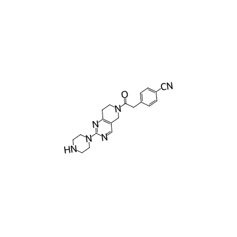 N#Cc1ccc(CC(=O)N2CCc3nc(N4CCNCC4)ncc3C2)cc1